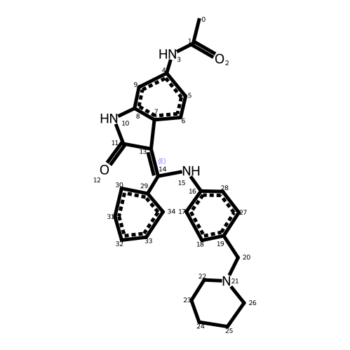 CC(=O)Nc1ccc2c(c1)NC(=O)/C2=C(/Nc1ccc(CN2CCCCC2)cc1)c1ccccc1